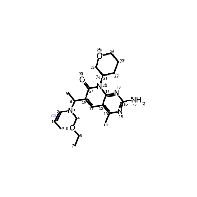 C/C=C\N(COCC)C(C)c1cc2c(C)nc(N)nc2n([C@@H]2CCCOC2)c1=O